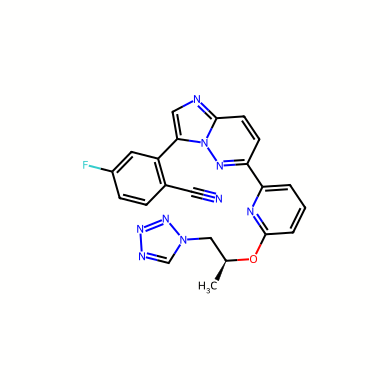 C[C@@H](Cn1cnnn1)Oc1cccc(-c2ccc3ncc(-c4cc(F)ccc4C#N)n3n2)n1